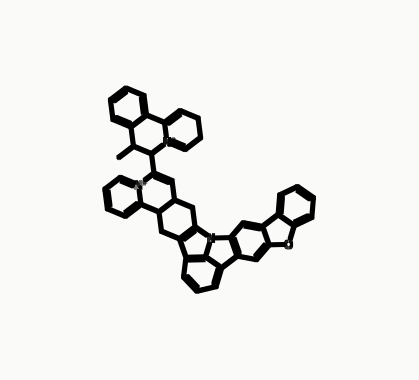 CC1c2ccccc2C2=CCCC=[N+]2C1C1=CC2Cc3c(c4cccc5c6cc7oc8ccccc8c7cc6n3c45)CC2c2cccc[n+]21